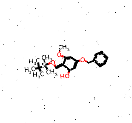 COC1=CC(OCc2ccccc2)=CC(O)C1=CO[Si](C)(C)C(C)(C)C